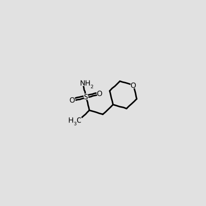 CC(CC1CCOCC1)S(N)(=O)=O